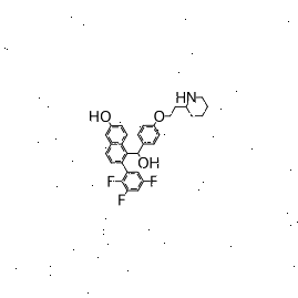 Oc1ccc2c(C(O)c3ccc(OCCC4CCCCN4)cc3)c(-c3cc(F)cc(F)c3F)ccc2c1